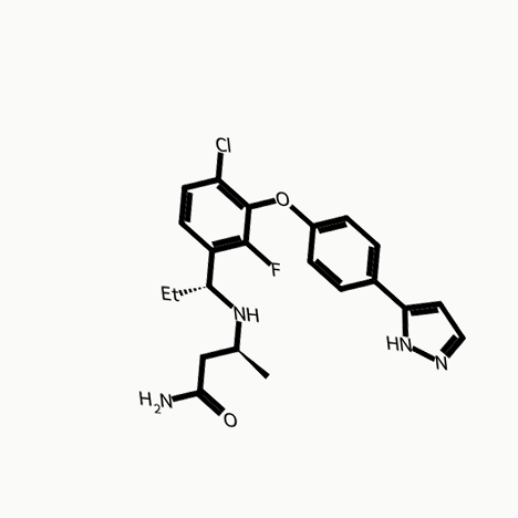 CC[C@@H](N[C@@H](C)CC(N)=O)c1ccc(Cl)c(Oc2ccc(-c3ccn[nH]3)cc2)c1F